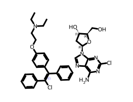 CCN(CC)CCOc1ccc(/C(=C(/Cl)c2ccccc2)c2ccccc2)cc1.Nc1nc(Cl)nc2c1ncn2[C@H]1C[C@H](O)[C@@H](CO)O1